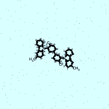 Cc1ccc2c(c1)c1ccccc1n2-c1cc(-c2ccc(C(F)(F)F)c(-n3c4ccccc4c4cc(C)ccc43)c2)ccc1C(F)(F)F